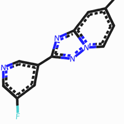 Cc1ccn2nc(-c3cncc(F)c3)nc2c1